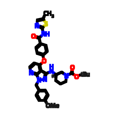 COc1ccc(Cn2nc(N[C@@H]3CCCN(C(=O)OC(C)(C)C)C3)c3c(Oc4ccc(C(=O)Nc5ncc(C)s5)cc4)ccnc32)cc1